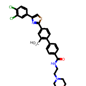 O=C(NCCN1CCOCC1)c1ccc(-c2ccc(-c3nc(-c4ccc(Cl)c(Cl)c4)cs3)cc2C(=O)O)cc1